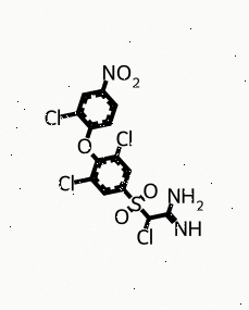 N=C(N)C(Cl)S(=O)(=O)c1cc(Cl)c(Oc2ccc([N+](=O)[O-])cc2Cl)c(Cl)c1